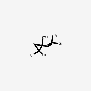 C/C(C#N)=C\C1(C(=O)O)CC1(C)C